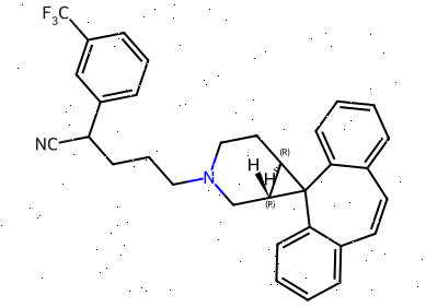 N#CC(CCCN1CC[C@@H]2[C@@H](C1)C21c2ccccc2C=Cc2ccccc21)c1cccc(C(F)(F)F)c1